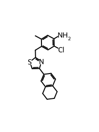 Cc1cc(N)c(Cl)cc1Cc1nc(-c2ccc3c(c2)CCCC3)cs1